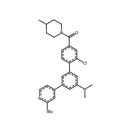 CC1CCN(C(=O)c2ccc(-c3cc(-c4ccnc(C(C)(C)C)c4)cc(N(C)C)c3)c(Cl)c2)CC1